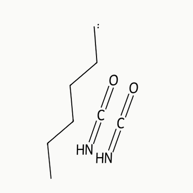 N=C=O.N=C=O.[CH]CCCCC